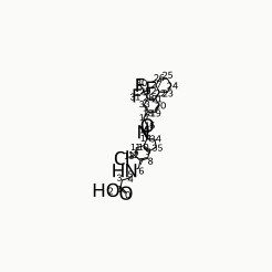 O=C(O)CCNCc1cc2c(cc1Cl)/C(=N/OCc1ccc(C3CCCCC3)c(C(F)(F)F)c1)CC2